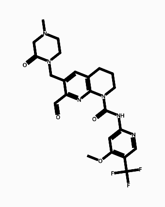 COc1cc(NC(=O)N2CCCc3cc(CN4CCN(C)CC4=O)c(C=O)nc32)ncc1C(F)(F)F